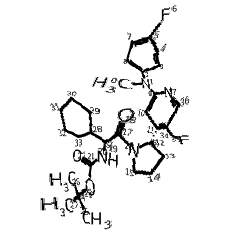 CN(c1ccc(F)cc1)c1cc([C@@H]2CCCN2C(=O)[C@@H](NC(=O)OC(C)(C)C)C2CCCCC2)c(F)cn1